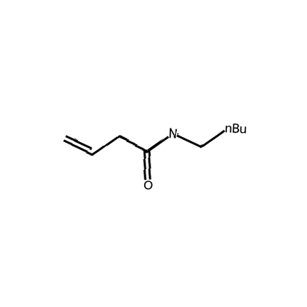 C=CCC(=O)[N]CCCCC